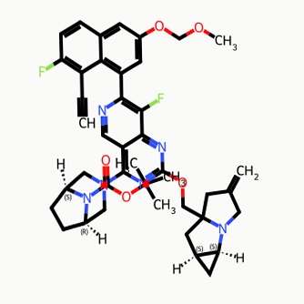 C#Cc1c(F)ccc2cc(OCOC)cc(-c3ncc4c(N5C[C@H]6CC[C@@H](C5)N6C(=O)OC(C)(C)C)nc(OCC56CC(=C)CN5[C@H]5C[C@H]5C6)nc4c3F)c12